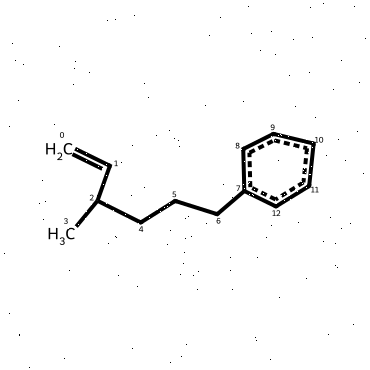 C=CC(C)CCCc1ccccc1